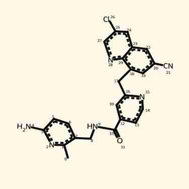 Cc1nc(N)ccc1CNC(=O)c1ccnc(Cc2cc(C#N)cc3cc(Cl)cnc23)c1